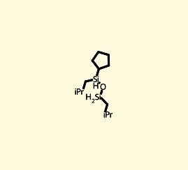 CC(C)C[SiH2]O[SiH](CC(C)C)C1CCCC1